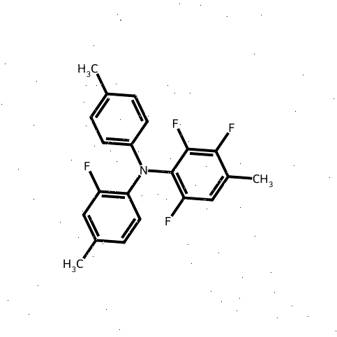 Cc1ccc(N(c2ccc(C)cc2F)c2c(F)cc(C)c(F)c2F)cc1